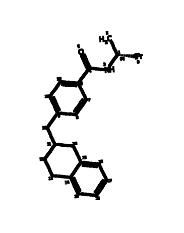 CC(C)[C@@H](C)NC(=O)c1ccc(CC2CCc3ccccc3C2)cc1